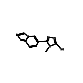 Cn1c(S)nnc1-c1ccc2nncn2c1